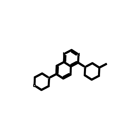 CC1CCCN(c2ncnc3cc(N4CCOCC4)ccc23)C1